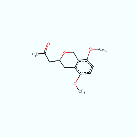 COc1ccc(OC)c2c1COC(CC(C)=O)C2